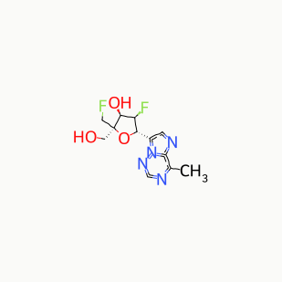 Cc1ncnn2c([C@@H]3O[C@@](CO)(CF)[C@@H](O)[C@H]3F)cnc12